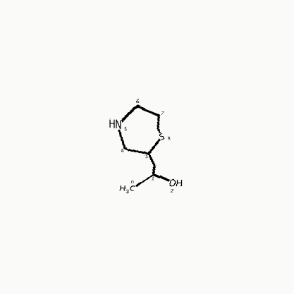 CC(O)C1CNCCS1